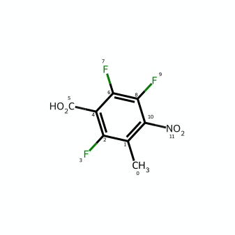 Cc1c(F)c(C(=O)O)c(F)c(F)c1[N+](=O)[O-]